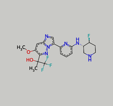 COc1cc2ncc(-c3cccc(N[C@H]4CNCC[C@@H]4F)n3)n2nc1C(C)(O)C(F)(F)F